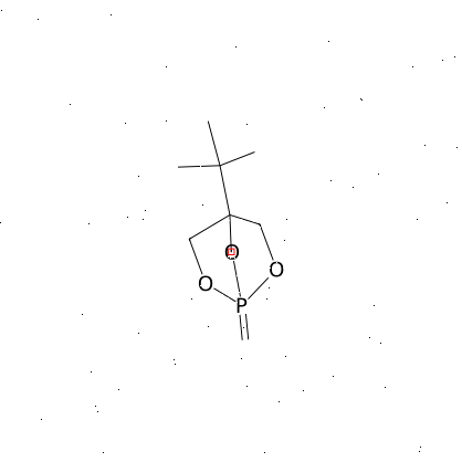 C=P12OCC(C(C)(C)C)(CO1)CO2